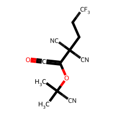 CC(C)(C#N)OC(=C=O)C(C#N)(C#N)CCC(F)(F)F